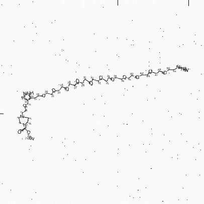 CC(C)(C)OC(=O)N1CCN(CCOCc2nn[nH]c2CCOCCOCCOCCOCCOCCOCCOCCOCCOCCOCCOCCN=[N+]=[N-])CC1